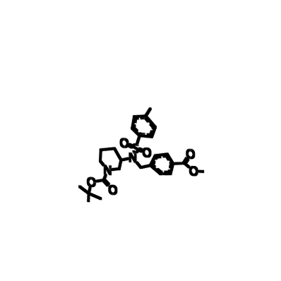 COC(=O)c1ccc(CN(C2CCCN(C(=O)OC(C)(C)C)C2)S(=O)(=O)c2ccc(C)cc2)cc1